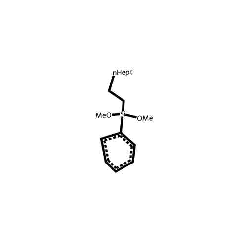 CCCCCCCCC[Si](OC)(OC)c1ccccc1